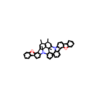 CC1C=C(n2c3ccccc3c3c4oc5ccccc5c4ccc32)C2(C)C3=C1C(C)C=C1c4c(ccc5c4oc4ccccc45)N(c4ccccc42)C13C